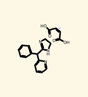 O=C(O)/C=C\C(=O)O.c1ccc(C(C2=NCCN2)c2ccccn2)cc1